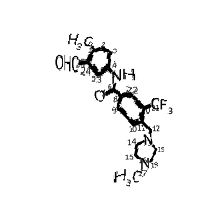 Cc1ccc(NC(=O)c2ccc(CN3CCN(C)CC3)c(C(F)(F)F)c2)cc1C=O